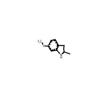 CC1Cc2ccc(OC(F)(F)F)cc2N1